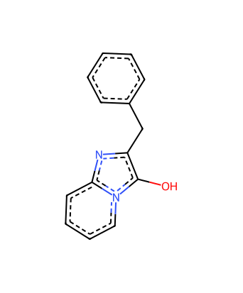 Oc1c(Cc2ccccc2)nc2ccccn12